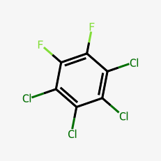 Fc1c(F)c(Cl)c(Cl)c(Cl)c1Cl